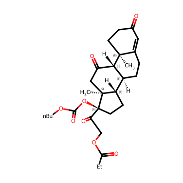 CCCCOC(=O)O[C@]1(C(=O)COC(=O)CC)CC[C@H]2[C@@H]3CCC4=CC(=O)CC[C@]4(C)[C@H]3C(=O)C[C@@]21C